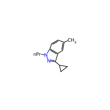 CCCn1nc(C2CC2)c2cc(C)ccc21